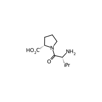 CC(C)[C@@H](N)C(=O)N1CCC[C@H]1C(=O)O